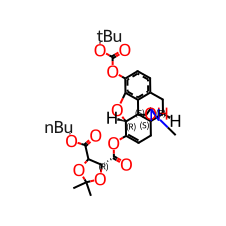 CCCCOC(=O)C1OC(C)(C)O[C@H]1C(=O)OC1=CC[C@@]2(O)[C@H]3Cc4ccc(OC(=O)OC(C)(C)C)c5c4[C@@]2(CCN3C)[C@H]1O5